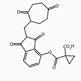 O=C1CCC(=O)C(CC2C(=O)c3cccc(OC(=O)C4(C(=O)O)CC4)c3C2=O)CC1